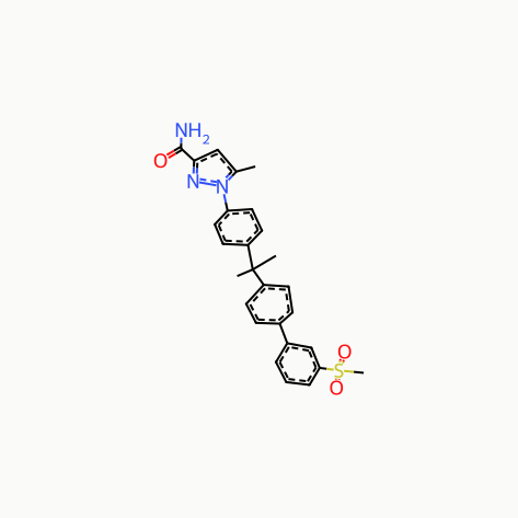 Cc1cc(C(N)=O)nn1-c1ccc(C(C)(C)c2ccc(-c3cccc(S(C)(=O)=O)c3)cc2)cc1